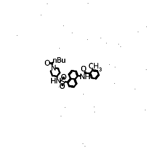 CCCCC(=O)N1CCC(NS(=O)(=O)c2cccc3c(NC(=O)c4ccccc4C)cccc23)CC1